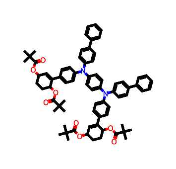 CC(C)(C)C(=O)OC1C=C(c2ccc(N(c3ccc(-c4ccccc4)cc3)c3ccc(N(c4ccc(C5=CC(OC(=O)C(C)(C)C)CCC5OC(=O)C(C)(C)C)cc4)c4ccc(-c5ccccc5)cc4)cc3)cc2)C(OC(=O)C(C)(C)C)CC1